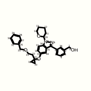 OCc1cccc(-c2nn(C3CCCCO3)c3ccc(OC4(CCOCc5ccccc5)CC4)cc23)c1